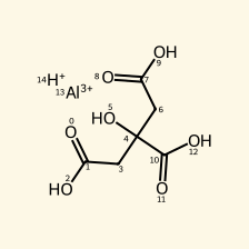 O=C(O)CC(O)(CC(=O)O)C(=O)O.[Al+3].[H+]